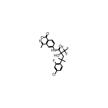 Cc1noc(=O)c2ccc(NC(=O)C(O)(CC(C)(C)c3ccc(Cl)cc3F)C(F)(F)F)cc12